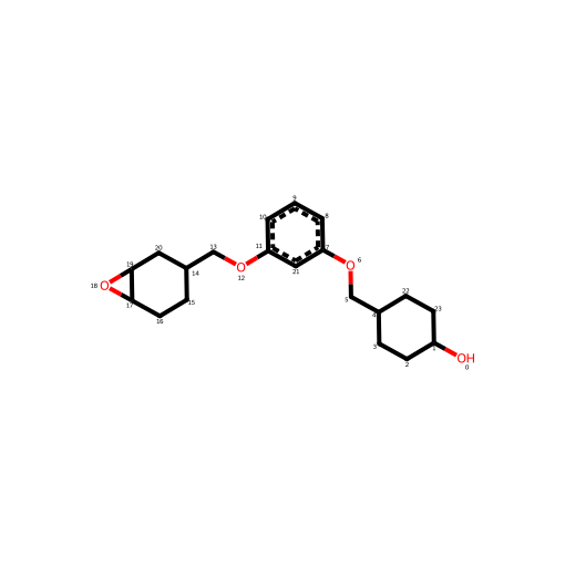 OC1CCC(COc2cccc(OCC3CCC4OC4C3)c2)CC1